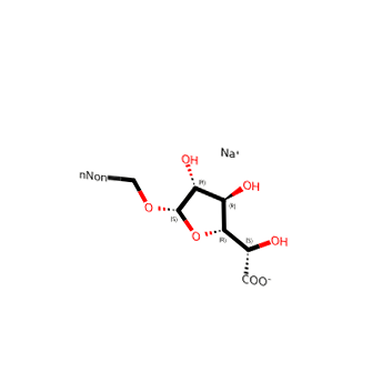 CCCCCCCCCCO[C@H]1O[C@@H]([C@H](O)C(=O)[O-])[C@H](O)[C@H]1O.[Na+]